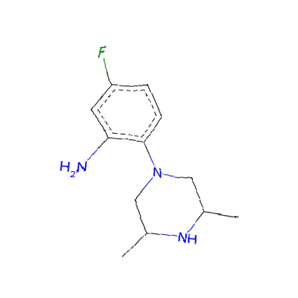 CC1CN(c2ccc(F)cc2N)CC(C)N1